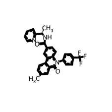 Cc1ccc2c(c1)c(=O)n(-c1ccc(C(F)(F)F)cc1)c1ccc(C(=O)N[C@@H](C)c3ccccn3)cc21